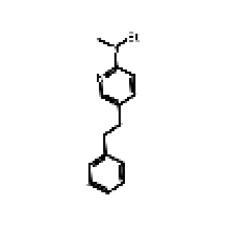 CCN(C)c1ccc(CCc2c[c]ccc2)cn1